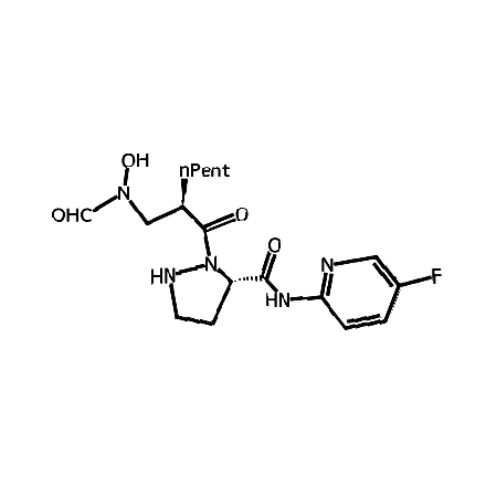 CCCCC[C@H](CN(O)C=O)C(=O)N1NCC[C@H]1C(=O)Nc1ccc(F)cn1